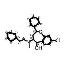 OC1c2ccc(Cl)cc2OC(c2ccccc2)CC1NCCc1ccccc1